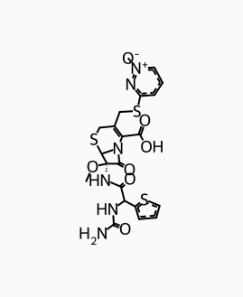 CO[C@]1(NC(=O)C(NC(N)=O)c2cccs2)C(=O)N2C(C(=O)O)=C(CSc3ccc[n+]([O-])n3)CSC21